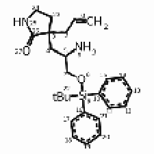 C=CCC1(CC(N)CO[Si](c2ccccc2)(c2ccccc2)C(C)(C)C)CCNC1=O